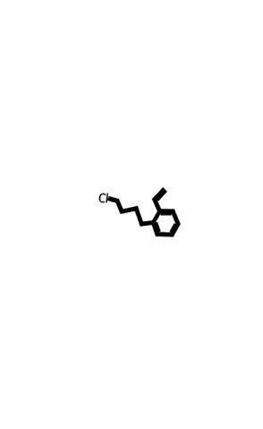 C=Cc1ccccc1CCCCCl